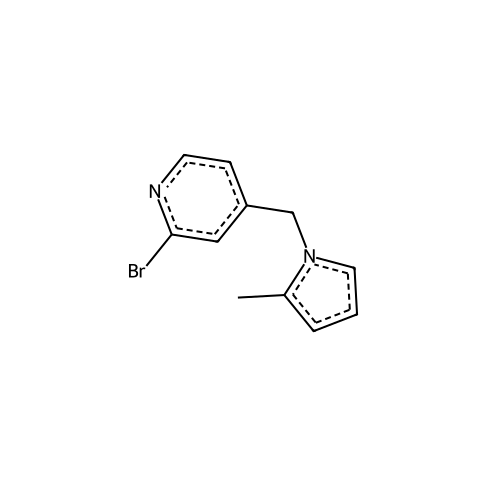 Cc1cccn1Cc1ccnc(Br)c1